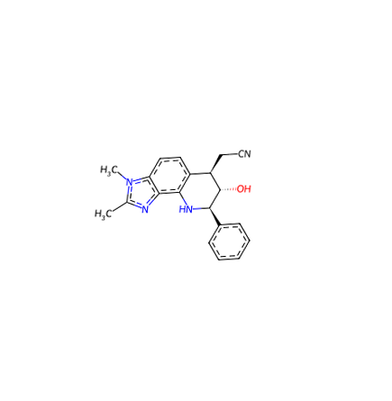 Cc1nc2c3c(ccc2n1C)[C@@H](CC#N)[C@H](O)[C@@H](c1ccccc1)N3